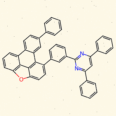 c1ccc(-c2ccc3c(c2)c2c(-c4cccc(-c5nc(-c6ccccc6)cc(-c6ccccc6)n5)c4)ccc4oc5cccc3c5c42)cc1